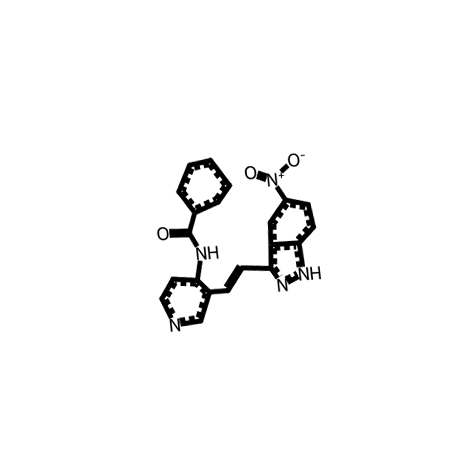 O=C(Nc1ccncc1C=Cc1n[nH]c2ccc([N+](=O)[O-])cc12)c1ccccc1